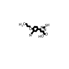 CCCCOc1ccc(-c2cc(C(=O)O)nc(S)n2)cc1C#N